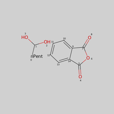 CCCCCC(O)O.O=C1OC(=O)c2ccccc21